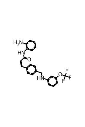 Nc1ccccc1NC(=O)/C=C\c1ccc(CNc2cccc(OC(F)(F)F)c2)cc1